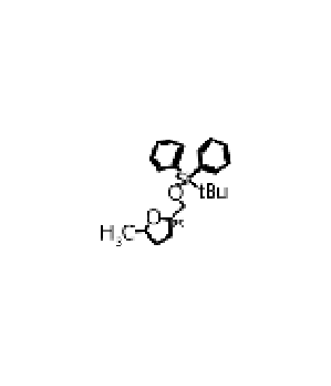 CC1CC[C@H](CO[Si](c2ccccc2)(c2ccccc2)C(C)(C)C)O1